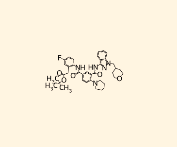 CC(C)(C)OC(=O)Cc1cc(F)ccc1NC(=O)c1ccc(N2CCCCC2)c(C(=O)Nc2nn(CC3CCOCC3)c3ccccc23)c1